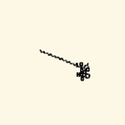 CCC=CCC=CCC=CCC=CCC=CCCCCSCC(=O)NC(CC(C)C)C(=O)Oc1ccccc1C(=O)O